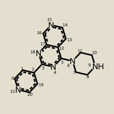 c1cc(-c2nc(N3CCNCC3)c3ccncc3n2)ccn1